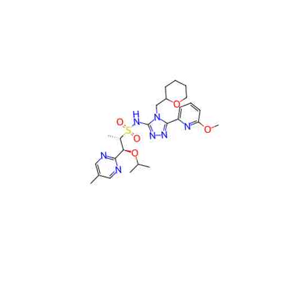 COc1cccc(-c2nnc(NS(=O)(=O)[C@@H](C)[C@@H](OC(C)C)c3ncc(C)cn3)n2CC2CCCCO2)n1